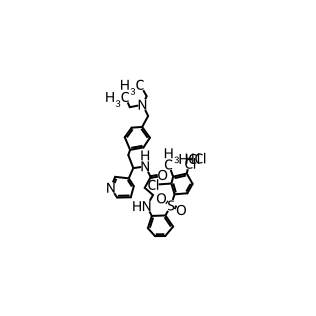 CCN(CC)Cc1ccc(CC(NC(=O)CCNc2ccccc2S(=O)(=O)c2ccc(Cl)c(C)c2Cl)c2cccnc2)cc1.Cl.Cl